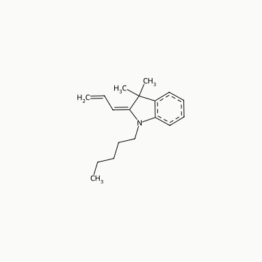 C=C/C=C1/N(CCCCC)c2ccccc2C1(C)C